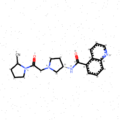 N#CC1CCCN1C(=O)CN1CC[C@H](NC(=O)c2cccc3ncccc23)C1